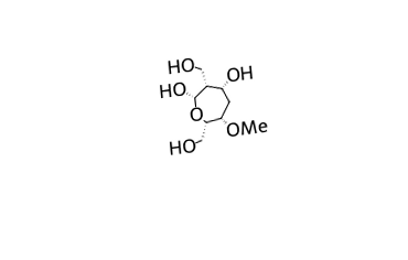 CO[C@H]1C[C@@H](O)[C@@H](CO)[C@@H](O)O[C@H]1CO